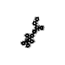 c1ccc(-c2cccc(-c3cc(-c4ccc(-c5ccc(-c6c(-c7ccccc7)n7nc(-c8ccccc8)c(-c8ccccc8)c7c7ccccc67)cc5)cc4)nc(-c4ccccc4)n3)c2)cc1